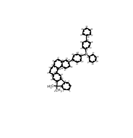 CC1(C)c2ccccc2-c2cc3c(ccc4ccc5cc(-c6ccc(N(c7ccccc7)c7ccc(-c8ccccc8)cc7)cc6)ccc5c43)cc21